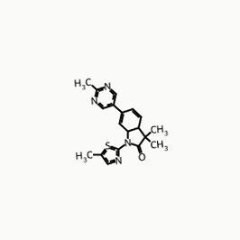 Cc1ncc(C2=CC3C(C=C2)C(C)(C)C(=O)N3c2ncc(C)s2)cn1